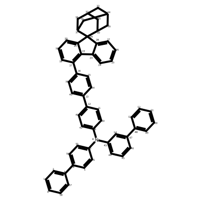 c1ccc(-c2ccc(N(c3ccc(-c4ccc(-c5cccc6c5-c5ccccc5C65C6CC7CC(C6)CC5C7)cc4)cc3)c3cccc(-c4ccccc4)c3)cc2)cc1